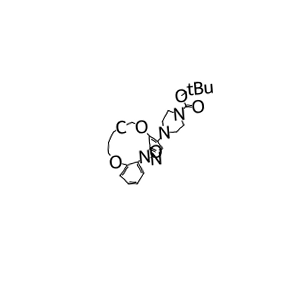 CC(C)(C)OC(=O)N1CCN(c2cnn3c(=O)c2OCCCCCOc2ccccc2-3)CC1